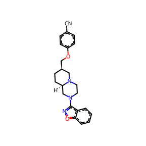 N#Cc1ccc(OC[C@@H]2CC[C@@H]3CN(c4noc5ccccc45)CCN3C2)cc1